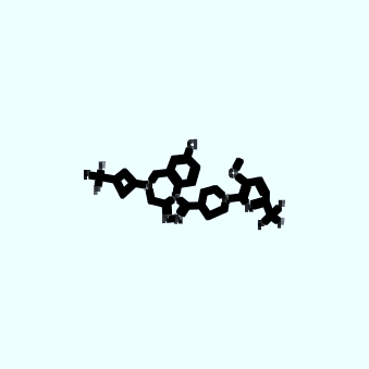 COc1ccc(C(F)(F)F)nc1N1CCC(c2nnc3n2-c2ccc(Cl)cc2CN(C2CC(C(F)(F)F)C2)C3)CC1